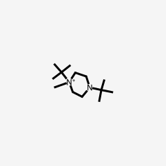 CC(C)(C)N1CC[N+](C)(C(C)(C)C)CC1